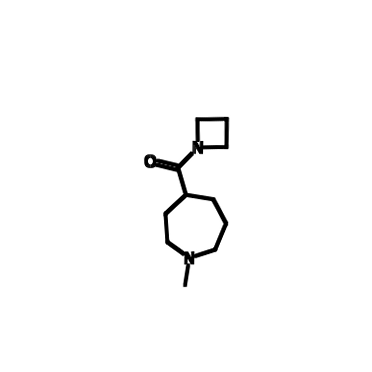 CN1CCCC(C(=O)N2CCC2)CC1